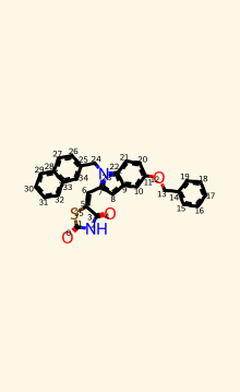 O=C1NC(=O)/C(=C\c2cc3cc(OCc4ccccc4)ccc3n2Cc2ccc3ccccc3c2)S1